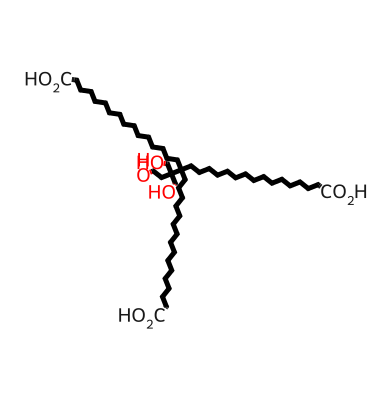 O=C(O)CCCCCCCCCCCCCCCC(CCCCCCCCCCCCCCCC(=O)O)(CCCCCCCCCCCCCCCC(=O)O)C(CO)(CO)CCO